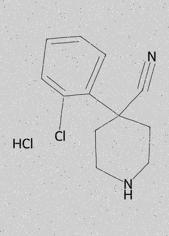 Cl.N#CC1(c2ccccc2Cl)CCNCC1